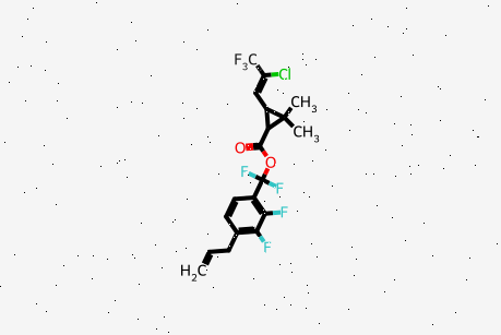 C=CCc1ccc(C(F)(F)OC(=O)C2C(C=C(Cl)C(F)(F)F)C2(C)C)c(F)c1F